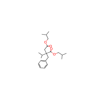 CC(C)COC(=O)CC(Cc1ccccc1)(C(=O)OCC(C)C)C(C)C